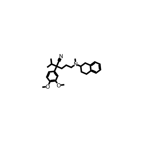 COc1ccc(C(C#N)(CCCN(C)C2CCc3ccccc3C2)C(C)C)cc1OC